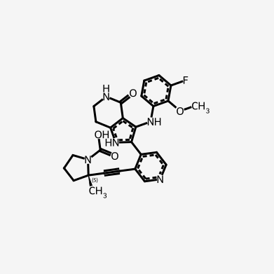 COc1c(F)cccc1Nc1c(-c2ccncc2C#C[C@]2(C)CCCN2C(=O)O)[nH]c2c1C(=O)NCC2